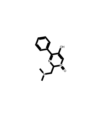 CN(C)CC1N=C(c2ccccc2)C(O)=C[N+]1=O